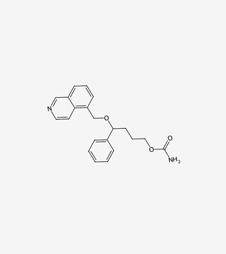 NC(=O)OCCCC(OCc1cccc2cnccc12)c1ccccc1